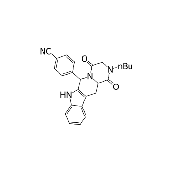 CCCCN1CC(=O)N2C(Cc3c([nH]c4ccccc34)C2c2ccc(C#N)cc2)C1=O